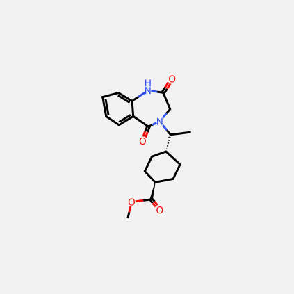 COC(=O)[C@H]1CC[C@H](C(C)N2CC(=O)Nc3ccccc3C2=O)CC1